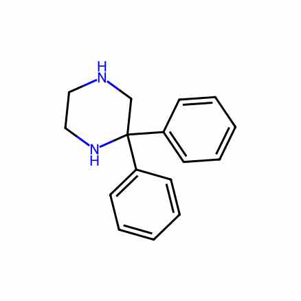 c1ccc(C2(c3ccccc3)CNCCN2)cc1